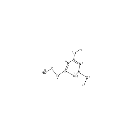 COC1=NC(OC)NC(OCO)=N1